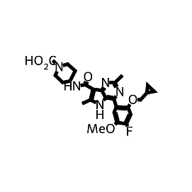 COc1cc(-c2nc(C)nc3c(C(=O)NC4CCN(C(=O)O)CC4)c(C)[nH]c23)c(OCC2CC2)cc1F